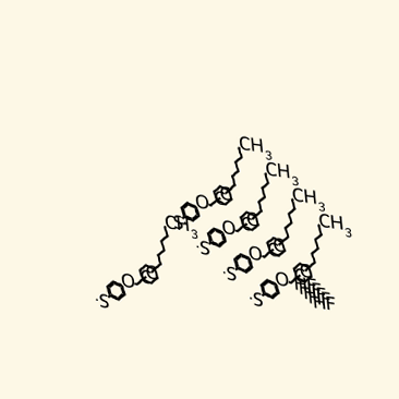 CCCCCCCC12CCC(COc3ccc([S])cc3)(CC1)CC2.CCCCCCCC12CCC(COc3ccc([S])cc3)(CC1)CC2.CCCCCCCC12CCC(COc3ccc([S])cc3)(CC1)CC2.CCCCCCCC12CCC(COc3ccc([S])cc3)(CC1)CC2.CCCCCCCC12CCC(COc3ccc([S])cc3)(CC1)CC2.F.F.F.F.F